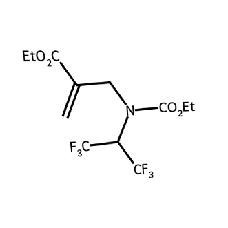 C=C(CN(C(=O)OCC)C(C(F)(F)F)C(F)(F)F)C(=O)OCC